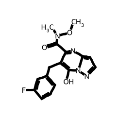 CON(C)C(=O)c1nc2ccnn2c(O)c1Cc1cccc(F)c1